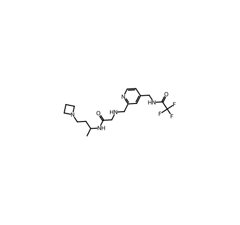 CC(CCN1CCC1)NC(=O)CNCc1cc(CNC(=O)C(F)(F)F)ccn1